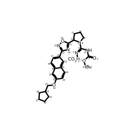 CC(C)(C)OC(=O)NC(=NC(=O)O)N1CCCC1c1nc(-c2ccc3cc(OCC4CCCC4)ccc3c2)no1